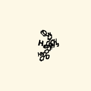 CC(C)(NC(=O)c1cc2[nH]c3ccccc3c(=O)c2cc1F)c1ccnc(C2CCCO2)c1